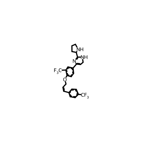 FC(F)(F)c1ccc(/C=C\COc2ccc(C3=CCNC(C4CCCN4)=N3)cc2C(F)(F)F)cc1